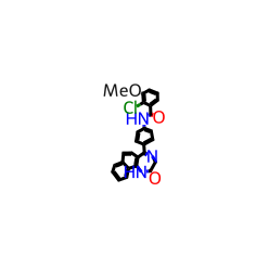 COc1cccc(C(=O)Nc2ccc(C3=NCC(=O)Nc4c3ccc3ccccc43)cc2)c1Cl